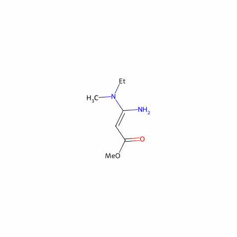 CCN(C)C(N)=CC(=O)OC